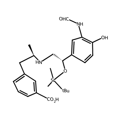 C[C@H](Cc1cccc(C(=O)O)c1)NC[C@@H](O[Si](C)(C)C(C)(C)C)c1ccc(O)c(NC=O)c1